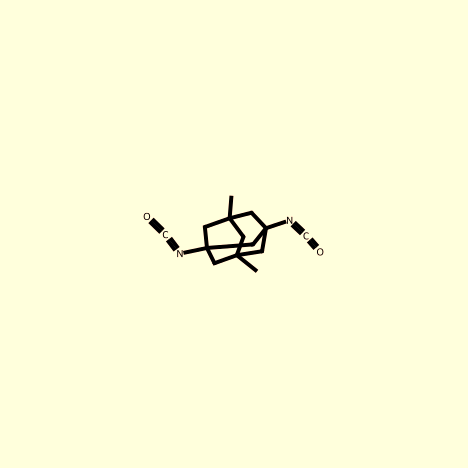 CC12CC3(C)CC(N=C=O)(C1)CC(N=C=O)(C2)C3